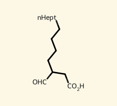 CCCCCCCCCCCC(C=O)CC(=O)O